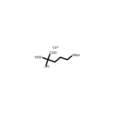 CCCCCCCCCCCCC(CCC)(C(=O)[O-])C(=O)[O-].[Ca+2]